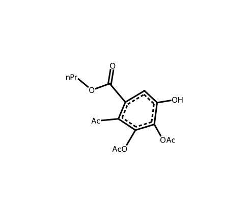 CCCOC(=O)c1cc(O)c(OC(C)=O)c(OC(C)=O)c1C(C)=O